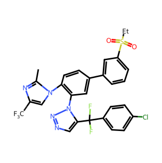 CCS(=O)(=O)c1cccc(-c2ccc(-n3cc(C(F)(F)F)nc3C)c(-n3nncc3C(F)(F)c3ccc(Cl)cc3)c2)c1